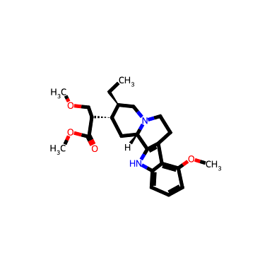 CC[C@H]1CN2CCc3c([nH]c4cccc(OC)c34)[C@@H]2C[C@@H]1C(COC)C(=O)OC